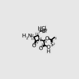 CC(=S)OC(C(=O)O)N1C(=O)[C@H](N)[C@@H]1CBr.Cl